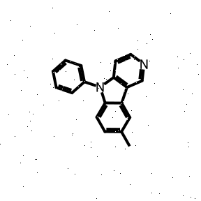 Cc1ccc2c(c1)c1cnccc1n2-c1ccccc1